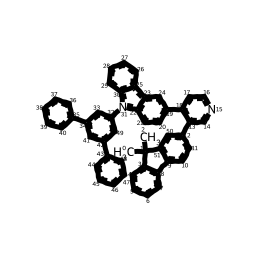 CC1(C)c2ccccc2-c2ccc(-c3cnccc3-c3ccc4c(c3)c3ccccc3n4-c3cc(-c4ccccc4)cc(-c4ccccc4)c3)cc21